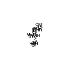 O=C(C=CCN1C[C@H]2C[C@@H]1CO2)Nc1cc2c(Nc3ccc(F)c(Cl)c3)ncnc2cc1OC1CCOC1